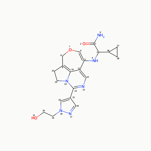 NC(=O)C(NC1=COCC2=C3C1=CN=C(c1cnn(CCO)c1)N3CC2)C1CC1